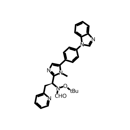 Cn1c(-c2ccc(-n3cnc4ccccc43)cc2)cnc1[C@H](Cc1ccccn1)N(C=O)OC(C)(C)C